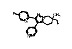 CC1(CF)CCc2c(-c3ccncc3)c(-c3ccc(F)cn3)nn2C1